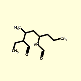 CCCC(CC(C)C(C=O)CC)NC=O